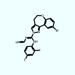 N=C/N=C(\Nc1ccc(F)cc1F)n1cc2c(n1)-c1cc(Br)ccc1OCC2